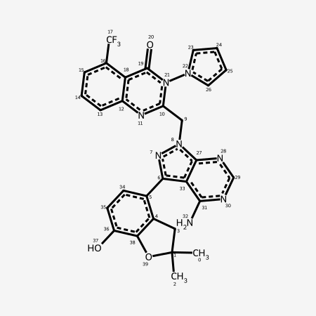 CC1(C)Cc2c(-c3nn(Cc4nc5cccc(C(F)(F)F)c5c(=O)n4-n4cccc4)c4ncnc(N)c34)ccc(O)c2O1